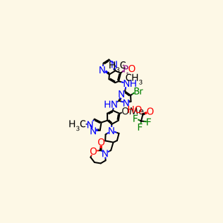 COc1cc(N2CCC(CN3CCCCOC3=O)CC2)c(-c2cnn(C)c2)cc1Nc1ncc(Br)c(Nc2ccc3nccnc3c2P(C)(C)=O)n1.O=C(O)C(F)(F)F